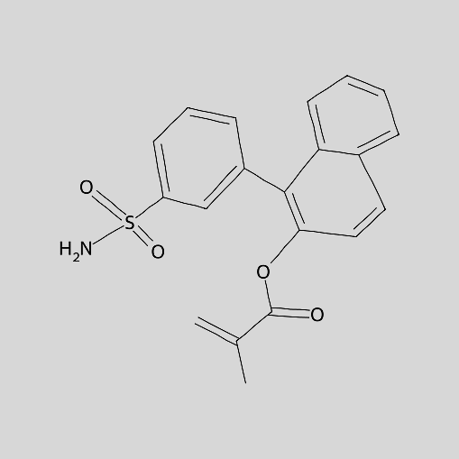 C=C(C)C(=O)Oc1ccc2ccccc2c1-c1cccc(S(N)(=O)=O)c1